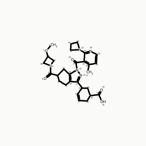 COC1CN(C(=O)C2CCc3c(C4C=CCC(C(=O)O)C4)nn(C(=O)c4c(C)ccnc4N4CCC4)c3C2)C1